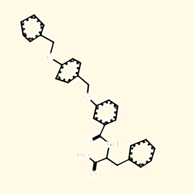 O=C(NC(Cc1ccccc1)C(=O)O)c1cccc(OCc2ccc(OCc3ccccc3)cc2)c1